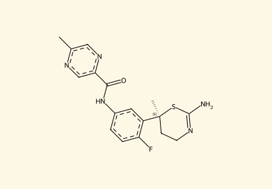 Cc1cnc(C(=O)Nc2ccc(F)c([C@]3(C)CCN=C(N)S3)c2)cn1